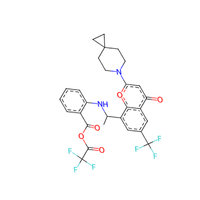 CC(Nc1ccccc1C(=O)OC(=O)C(F)(F)F)c1cc(C(F)(F)F)cc2c(=O)cc(N3CCC4(CC3)CC4)oc12